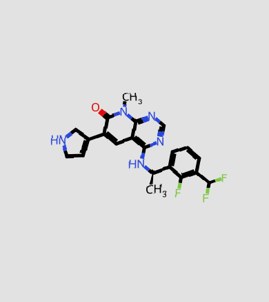 C[C@@H](Nc1ncnc2c1cc(C1=CCNC1)c(=O)n2C)c1cccc(C(F)F)c1F